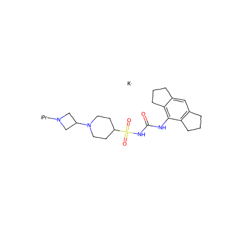 CC(C)N1CC(N2CCC(S(=O)(=O)NC(=O)Nc3c4c(cc5c3CCC5)CCC4)CC2)C1.[K]